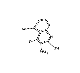 COc1cccc2nc(S)c([N+](=O)[O-])c(Cl)c12